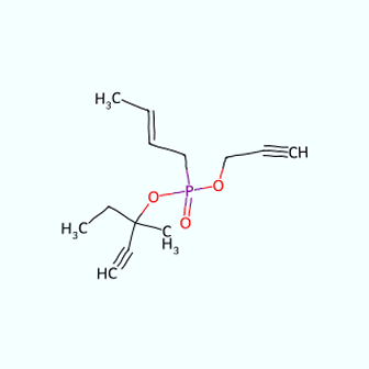 C#CCOP(=O)(CC=CC)OC(C)(C#C)CC